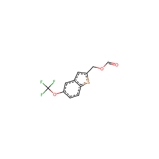 O=[C]OCc1cc2cc(OC(F)(F)F)ccc2s1